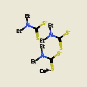 CCN(CC)C(=S)[S-].CCN(CC)C(=S)[S-].CCN(CC)C(=S)[S-].[Ce+3]